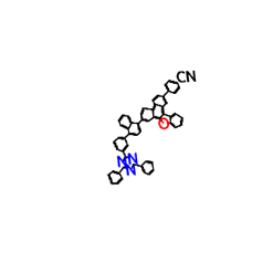 N#Cc1ccc(-c2ccc3c4ccc(-c5ccc(-c6cccc(-c7nc(-c8ccccc8)nc(-c8ccccc8)n7)c6)c6ccccc56)cc4c4oc5ccccc5c4c3c2)cc1